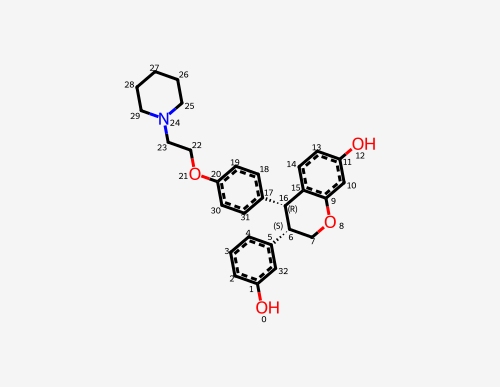 Oc1cccc([C@H]2COc3cc(O)ccc3[C@H]2c2ccc(OCCN3CCCCC3)cc2)c1